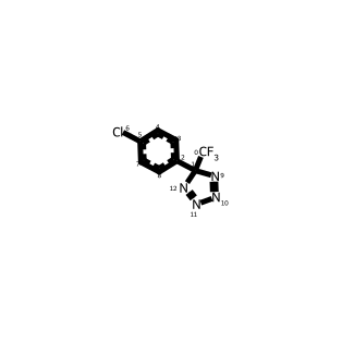 FC(F)(F)C1(c2[c]cc(Cl)cc2)N=NN=N1